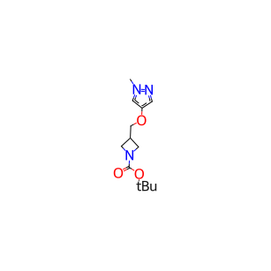 Cn1cc(OCC2CN(C(=O)OC(C)(C)C)C2)cn1